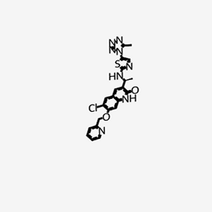 Cc1nnnn1-c1cnc(N[C@@H](C)c2cc3cc(Cl)c(OCc4ccccn4)cc3[nH]c2=O)s1